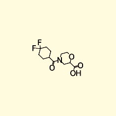 O=C(O)C1CN(C(=O)C2CCC(F)(F)CC2)CCO1